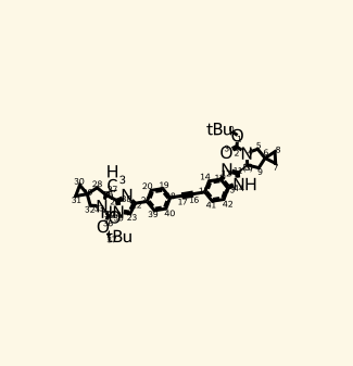 CC(C)(C)OC(=O)N1CC2(CC2)C[C@H]1c1nc2cc(C#Cc3ccc(-c4c[nH]c([C@@]5(C)CC6(CC6)CN5C(=O)OC(C)(C)C)n4)cc3)ccc2[nH]1